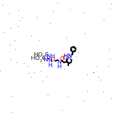 CC1=C(CC(=O)NCCONC(=NC(=O)O)NC(=O)O)C(=O)N(NCc2ccccc2)CC1